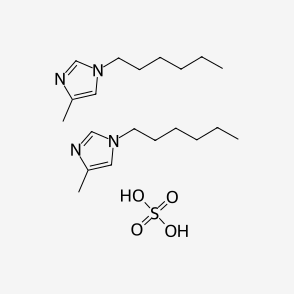 CCCCCCn1cnc(C)c1.CCCCCCn1cnc(C)c1.O=S(=O)(O)O